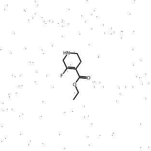 CCOC(=O)C1=C(F)CNCC1